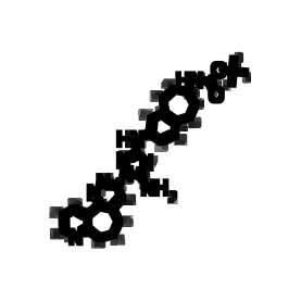 CC(C)(C)OC(=O)N[C@H]1CCc2ccc(Nc3nc(N)n(-c4cc5c(nn4)-c4cccnc4CCC5)n3)cc2CC1